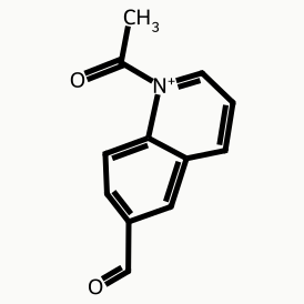 CC(=O)[n+]1cccc2cc(C=O)ccc21